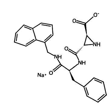 O=C(NCc1cccc2ccccc12)[C@H](Cc1ccccc1)NC(=O)[C@H]1N[C@@H]1C(=O)[O-].[Na+]